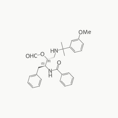 COc1cccc(C(C)(C)NC[C@@H](OC=O)[C@H](Cc2ccccc2)NC(=O)c2ccccc2)c1